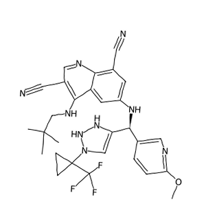 COc1ccc([C@H](Nc2cc(C#N)c3ncc(C#N)c(NCC(C)(C)C)c3c2)C2=CN(C3(C(F)(F)F)CC3)NN2)cn1